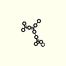 C1=Cc2c(ccc3c2c2ccccc2n3-c2ccc(-c3ccc(N(c4ccc(-c5ccccc5)cc4)c4ccc(N(c5ccccc5)c5ccccc5)cc4)cc3)cc2)CC1